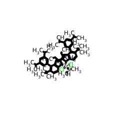 CCC(C)C1=Cc2c(ccc(C(C)(C)C)c2-c2cc(C(C)C)cc(C(C)C)c2)[CH]1[Zr]([Cl])([Cl])([CH]1C(C(C)CC)=Cc2c1ccc(C(C)(C)C)c2-c1cc(C(C)C)cc(C(C)C)c1)[SiH](C)C